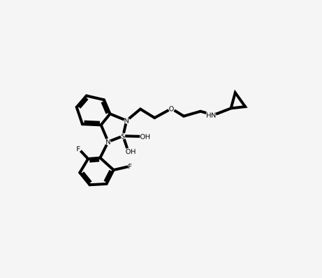 OS1(O)N(CCOCCNC2CC2)c2ccccc2N1c1c(F)cccc1F